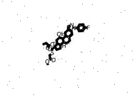 CCC(=O)O[C@]1(C(=O)SCC(=O)OC)CCC2[C@@H]3CCC4=Cc5c(cnn5-c5ccc(F)cc5)C[C@]4(C)C3[C@@H](O)C[C@@]21C